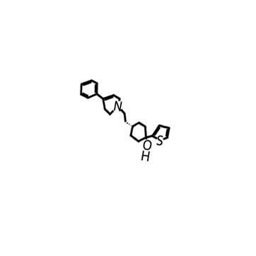 O[C@]1(c2cccs2)CC[C@@H](CCN2CC=C(c3ccccc3)CC2)CC1